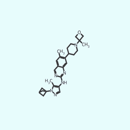 Cc1cc2cnc(Nc3cnn(C45CC(C4)C5)c3C)nc2cc1C1CCN(C2(C)COC2)CC1